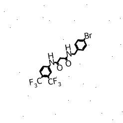 O=C(CC(=O)Nc1ccc(C(F)(F)F)c(C(F)(F)F)c1)NCc1ccc(Br)cc1